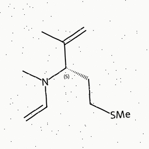 C=CN(C)[C@@H](CCSC)C(=C)C